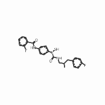 CC(CNC(=O)N(S)c1ccc(NC(=O)c2ccccc2F)cc1)Cc1ccc(F)cc1